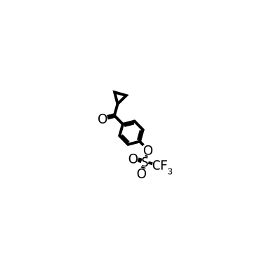 O=C(c1ccc(OS(=O)(=O)C(F)(F)F)cc1)C1CC1